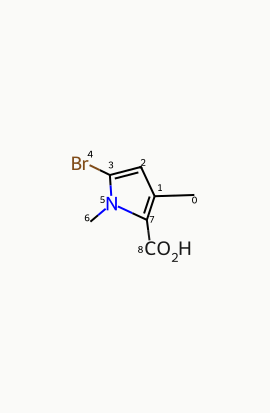 Cc1cc(Br)n(C)c1C(=O)O